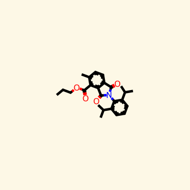 CCCOC(=O)c1c(C)ccc2c1C(=O)N(c1c(C(C)C)cccc1C(C)C)C2=O